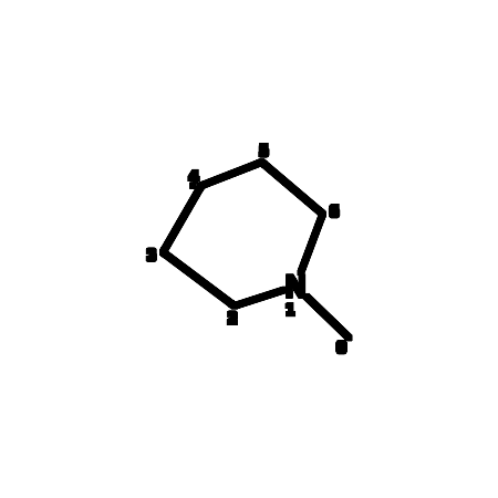 CN1CC[CH]CC1